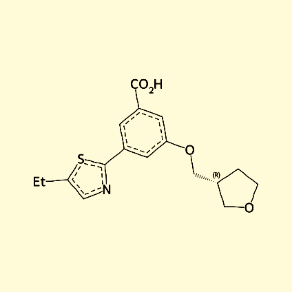 CCc1cnc(-c2cc(OC[C@@H]3CCOC3)cc(C(=O)O)c2)s1